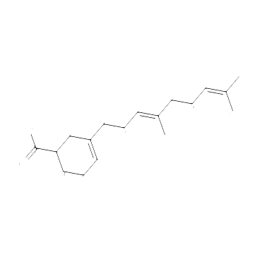 CC(C)=CCC/C(C)=C/CCC1=CCCC(C(=O)O)C1